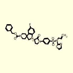 C=CCN(c1nccs1)S(=O)(=O)c1ccc(N2CC[C@H](N3CC4(CCN(C(=O)OCc5ccccc5)CC4)c4cc(F)ccc43)C2=O)cc1